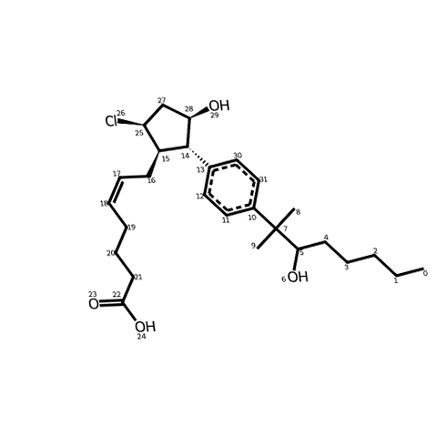 CCCCCC(O)C(C)(C)c1ccc([C@@H]2[C@@H](C/C=C\CCCC(=O)O)[C@@H](Cl)C[C@H]2O)cc1